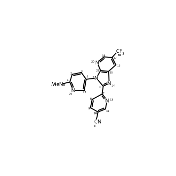 CNc1ccc(-n2c(-c3ccc(C#N)cn3)nc3cc(C(F)(F)F)cnc32)cn1